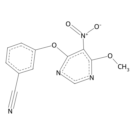 COc1ncnc(Oc2cccc(C#N)c2)c1[N+](=O)[O-]